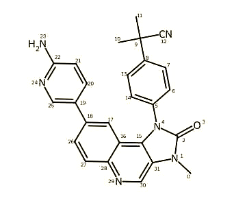 Cn1c(=O)n(-c2ccc(C(C)(C)C#N)cc2)c2c3cc(-c4ccc(N)nc4)ccc3ncc21